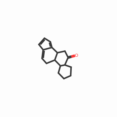 O=C1CC2C3=CC=CC3=CCC2C2CCCCC12